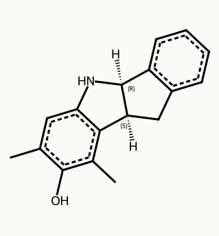 Cc1cc2c(c(C)c1O)[C@@H]1Cc3ccccc3[C@@H]1N2